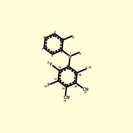 Cc1ccccc1N(C)c1c(F)c(F)c(C#N)c(C#N)c1F